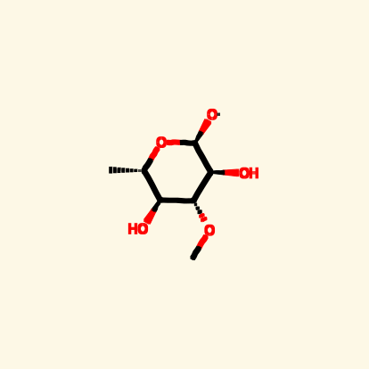 CO[C@@H]1[C@@H](O)[C@H](C)O[C@@H]([O])[C@H]1O